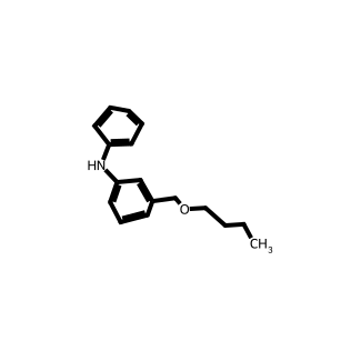 CCCCOCc1cccc(Nc2ccccc2)c1